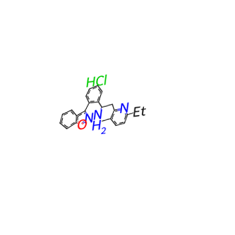 CCc1ccc(C)c(CC(N)c2ccccc2-c2noc3ccccc23)n1.Cl